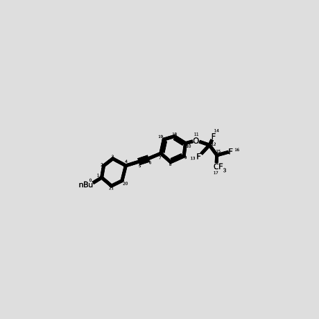 CCCCC1CCC(C#Cc2ccc(OC(F)(F)C(F)C(F)(F)F)cc2)CC1